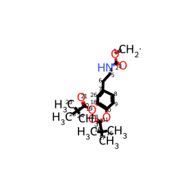 [CH2]OC(=O)NCCc1ccc(OC(=O)C(C)(C)C)c(OC(=O)C(C)(C)C)c1